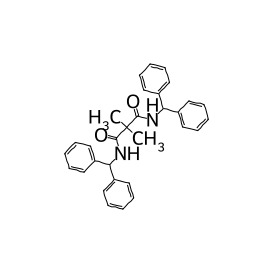 CC(C)(C(=O)NC(c1ccccc1)c1ccccc1)C(=O)NC(c1ccccc1)c1ccccc1